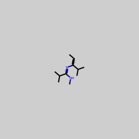 C/C=C(\N=C(/NC)C(C)C)C(C)C